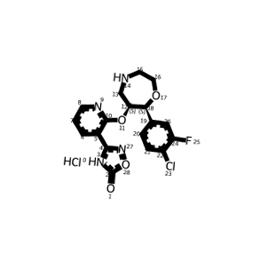 Cl.O=c1[nH]c(-c2cccnc2O[C@H]2CNCCO[C@H]2c2ccc(Cl)c(F)c2)no1